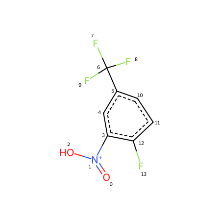 O=[N+](O)c1cc(C(F)(F)F)ccc1F